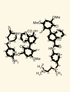 COc1cc(OC)c(Cl)c(-c2ccc(C(=O)Nc3ccc(CN(C)CCN(C)C)cn3)c3nccnc23)c1F.COc1cc(OC)c(Cl)c(-c2ccc(C(=O)O)c3nccnc23)c1F.Nc1ccc(CN2CCNC(=O)C2)cn1